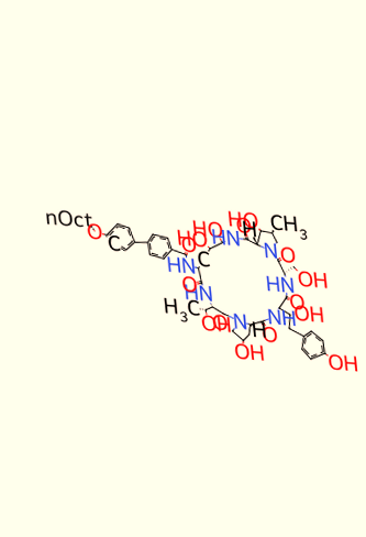 CCCCCCCCOc1ccc(-c2ccc(C(=O)N[C@H]3CC(O)C(O)NC(=O)[C@@H]4[C@@H](O)[C@@H](C)CN4C(=O)[C@H](CO)NC(=O)[C@H]([C@H](O)Cc4ccc(O)cc4)NC(=O)[C@@H]4C[C@@H](O)CN4C(=O)[C@H]([C@@H](C)O)NC3=O)cc2)cc1